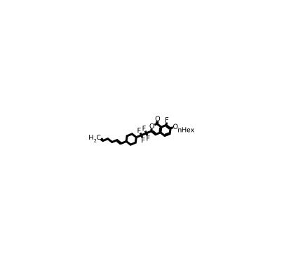 C=CCC/C=C/C1CCC(C(F)(F)C(F)(F)c2cc3ccc(OCCCCCC)c(F)c3c(=O)o2)CC1